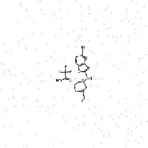 CCN1CCC[C@@H](Nc2nc3nc(Br)ccc3o2)C1.O=C(O)C(F)(F)F